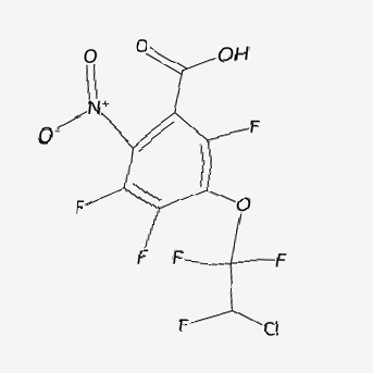 O=C(O)c1c(F)c(OC(F)(F)C(F)Cl)c(F)c(F)c1[N+](=O)[O-]